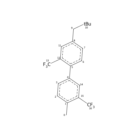 Cc1ccc(-c2ccc(CC(C)(C)C)cc2C(F)(F)F)cc1C(F)(F)F